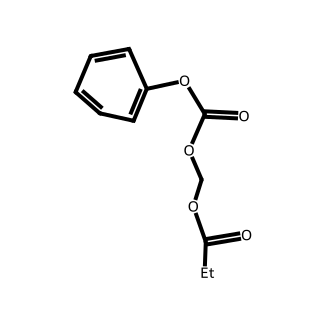 CCC(=O)OCOC(=O)Oc1ccccc1